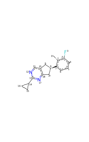 Cc1c(F)cccc1[C@@H]1Cc2cnc(C3CC3)nc2C1